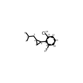 CC(C)CC1CC1c1c(F)cccc1Cl